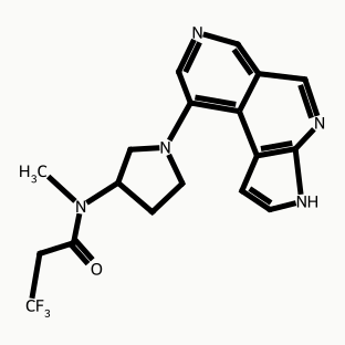 CN(C(=O)CC(F)(F)F)C1CCN(c2cncc3cnc4[nH]ccc4c23)C1